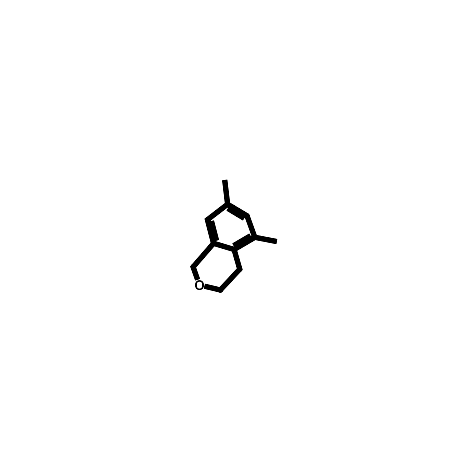 Cc1cc(C)c2c(c1)COCC2